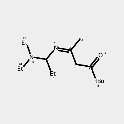 CCC(/N=C(/C)CC(=O)C(C)(C)C)N(CC)CC